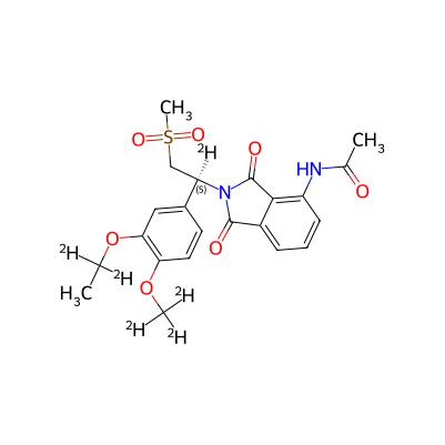 [2H]C([2H])([2H])Oc1ccc([C@@]([2H])(CS(C)(=O)=O)N2C(=O)c3cccc(NC(C)=O)c3C2=O)cc1OC([2H])([2H])C